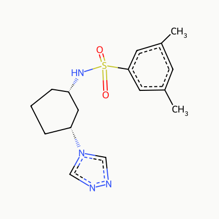 Cc1cc(C)cc(S(=O)(=O)N[C@H]2CCC[C@@H](n3cnnc3)C2)c1